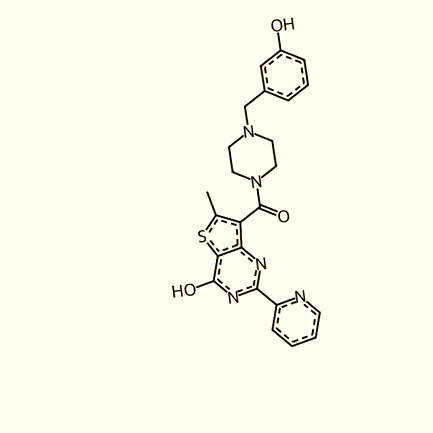 Cc1sc2c(O)nc(-c3ccccn3)nc2c1C(=O)N1CCN(Cc2cccc(O)c2)CC1